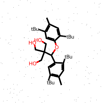 Cc1cc(C(C)(C)C)c(OC(c2cc(C(C)(C)C)c(C)cc2C(C)(C)C)C(CO)(CO)CO)cc1C(C)(C)C